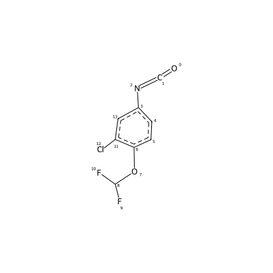 O=C=Nc1ccc(OC(F)F)c(Cl)c1